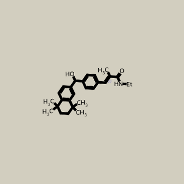 CCNC(=O)/C(C)=C/c1ccc(C(O)c2ccc3c(c2)C(C)(C)CCC3(C)C)cc1